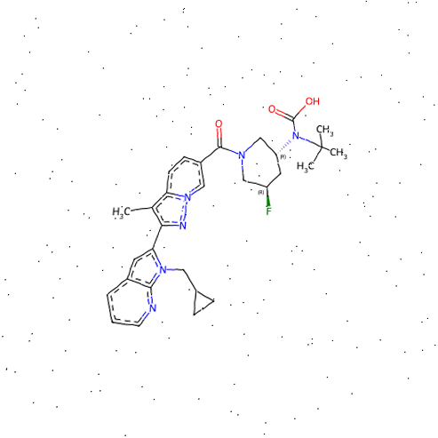 Cc1c(-c2cc3cccnc3n2CC2CC2)nn2cc(C(=O)N3C[C@H](F)C[C@@H](N(C(=O)O)C(C)(C)C)C3)ccc12